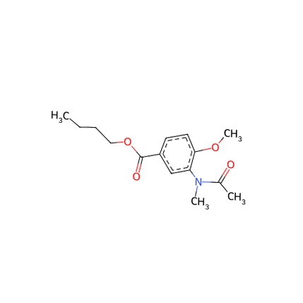 CCCCOC(=O)c1ccc(OC)c(N(C)C(C)=O)c1